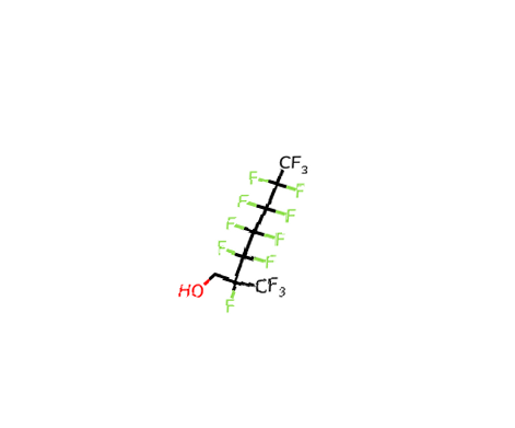 OCC(F)(C(F)(F)F)C(F)(F)C(F)(F)C(F)(F)C(F)(F)C(F)(F)F